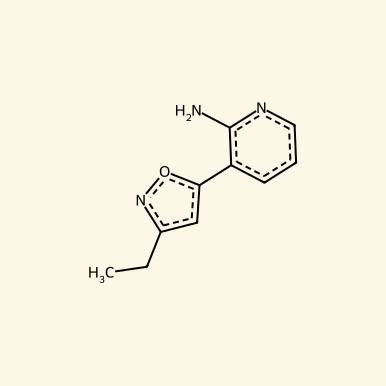 CCc1cc(-c2cccnc2N)on1